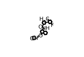 Cc1ccc(F)cc1-c1cccc(C(=O)Nc2ccc(OCCN3CCOCC3)c3ccccc23)c1